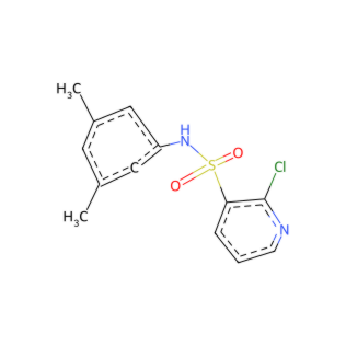 Cc1cc(C)cc(NS(=O)(=O)c2cccnc2Cl)c1